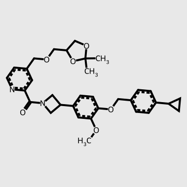 COc1cc(C2CN(C(=O)c3cc(COCC4COC(C)(C)O4)ccn3)C2)ccc1OCc1ccc(C2CC2)cc1